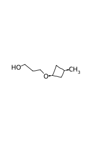 C[C@H]1C[C@@H](OCCCO)C1